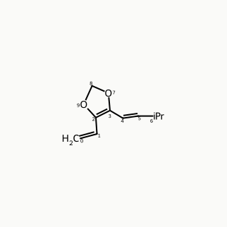 C=CC1=C(/C=C/C(C)C)OCO1